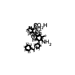 Cc1c(N)c([C@@H]2CCN(Cc3ccccc3)C2)c(F)c(S(=O)(=O)c2csnc2NC(=O)O)c1F